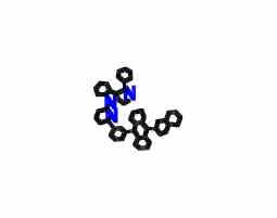 c1ccc(-c2nccc3c2c2ccccc2n3-c2cccc(-c3cccc(-c4c5ccccc5c(-c5ccc6ccccc6c5)c5ccccc45)c3)n2)cc1